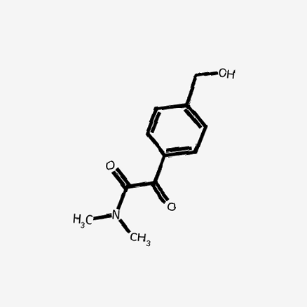 CN(C)C(=O)C(=O)c1ccc(CO)cc1